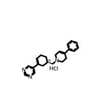 C1=C(c2ccccc2)CCN(C[C@@H]2CCC=C(c3cncnc3)C2)C1.Cl